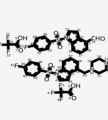 O=C(O)C(F)(F)F.O=C(O)C(F)(F)F.O=Cc1cccc2c1ccn2S(=O)(=O)c1ccc(F)cc1.O=S(=O)(c1ccc(F)cc1)n1ccc2c(CN3CCNCC3)cccc21